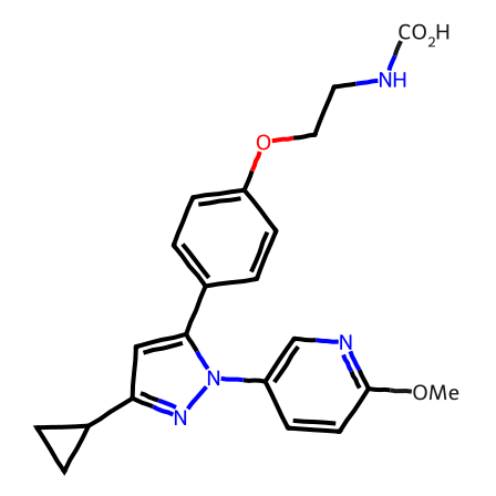 COc1ccc(-n2nc(C3CC3)cc2-c2ccc(OCCNC(=O)O)cc2)cn1